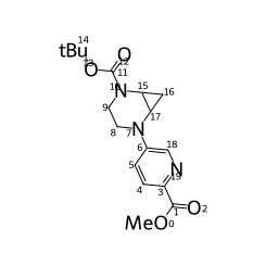 COC(=O)c1ccc(N2CCN(C(=O)OC(C)(C)C)C3CC32)cn1